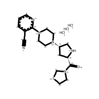 Cl.Cl.Cl.N#Cc1cccnc1N1CCN([C@@H]2CN[C@H](C(=O)N3CCSC3)C2)CC1